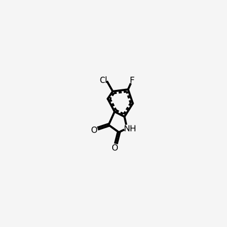 O=C1Nc2cc(F)c(Cl)cc2C1=O